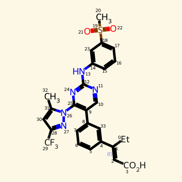 CC/C(=C\C(=O)O)c1cccc(-c2cnc(Nc3cccc(S(C)(=O)=O)c3)nc2-n2nc(C(F)(F)F)cc2C)c1